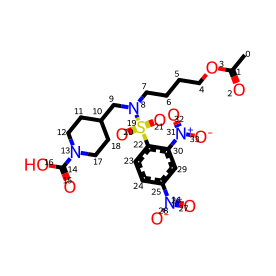 CC(=O)OCCCCN(CC1CCN(C(=O)O)CC1)S(=O)(=O)c1ccc([N+](=O)[O-])cc1[N+](=O)[O-]